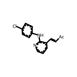 CC(=O)/C=C/c1cccnc1Nc1ccc(Cl)cc1